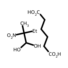 CCC(C)(C(O)O)[N+](=O)[O-].O=C(O)CCCCC(=O)O